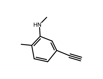 C#Cc1ccc(C)c(NC)c1